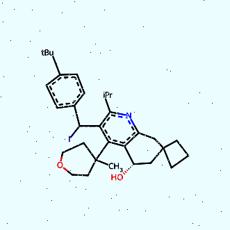 CC(C)c1nc2c(c(C3(C)CCOCC3)c1C(I)c1ccc(C(C)(C)C)cc1)[C@@H](O)CC1(CCC1)C2